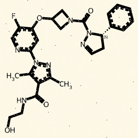 Cc1nn(-c2cc(OC3CN(C(=O)N4N=CC[C@H]4c4ccccc4)C3)c(F)cn2)c(C)c1C(=O)NCCO